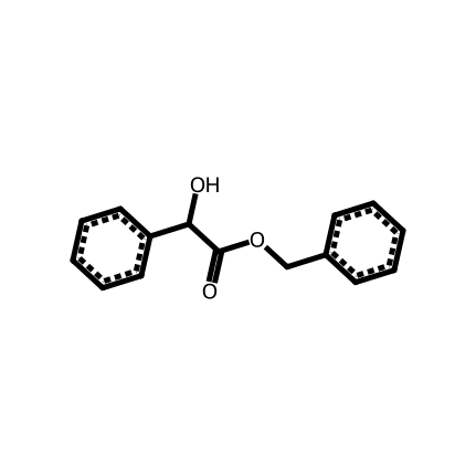 O=C(OCc1ccccc1)C(O)c1ccccc1